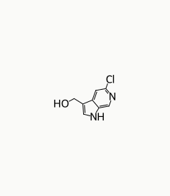 OCc1c[nH]c2cnc(Cl)cc12